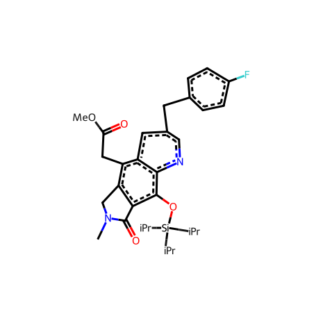 COC(=O)Cc1c2c(c(O[Si](C(C)C)(C(C)C)C(C)C)c3ncc(Cc4ccc(F)cc4)cc13)C(=O)N(C)C2